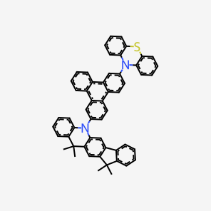 CC1(C)c2ccccc2-c2cc3c(cc21)C(C)(C)c1ccccc1N3c1ccc2c3ccc(N4c5ccccc5Sc5ccccc54)cc3c3ccccc3c2c1